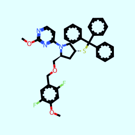 COc1nccc(N2C[C@H](SC(c3ccccc3)(c3ccccc3)c3ccccc3)C[C@H]2COCc2cc(F)c(OC)cc2F)n1